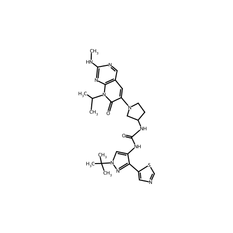 CNc1ncc2cc(N3CCC(NC(=O)Nc4cn(C(C)(C)C)nc4-c4cncs4)C3)c(=O)n(C(C)C)c2n1